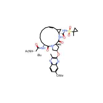 CC[C@H](C)[C@H](NC(C)=O)C(=O)N[C@H]1CCCCC/C=C\C2C[C@@]2(C(=O)NS(=O)(=O)C2(C)CC2)NC(=O)[C@@H]2C[C@@H](Oc3nc4cc(OC)ccc4nc3C)CN2C1=O